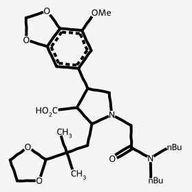 CCCCN(CCCC)C(=O)CN1CC(c2cc(OC)c3c(c2)OCO3)C(C(=O)O)C1CC(C)(C)C1OCCO1